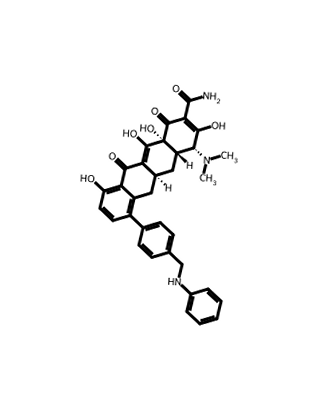 CN(C)[C@H]1C(O)=C(C(N)=O)C(=O)[C@]2(O)C(O)=C3C(=O)c4c(O)ccc(-c5ccc(CNc6ccccc6)cc5)c4C[C@@H]3C[C@@H]12